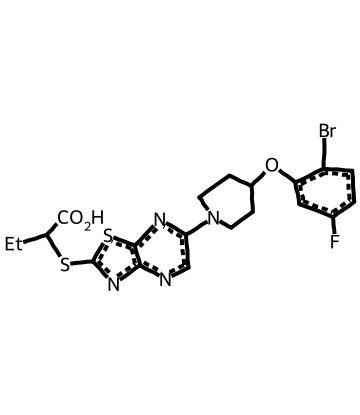 CCC(Sc1nc2ncc(N3CCC(Oc4cc(F)ccc4Br)CC3)nc2s1)C(=O)O